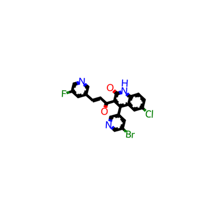 O=C(C=Cc1cncc(F)c1)c1c(-c2cncc(Br)c2)c2cc(Cl)ccc2[nH]c1=O